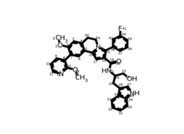 COc1cc2c(cc1-c1cccnc1OC)-c1cc(C(=O)NC(CO)Cc3c[nH]c4ccccc34)c(-c3cccc(F)c3)n1CC2